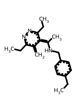 C=c1c(CC)nnc(CC)/c1=C(\C)NCc1ccc(CC)cc1